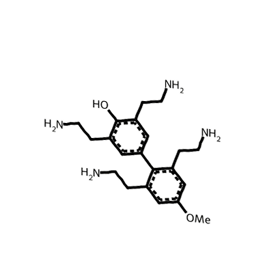 COc1cc(CCN)c(-c2cc(CCN)c(O)c(CCN)c2)c(CCN)c1